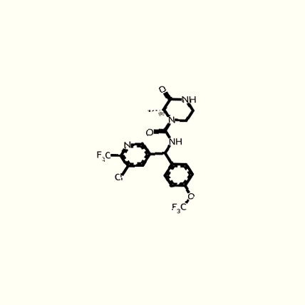 C[C@@H]1C(=O)NCCN1C(=O)NC(c1ccc(OC(F)(F)F)cc1)c1cnc(C(F)(F)F)c(Cl)c1